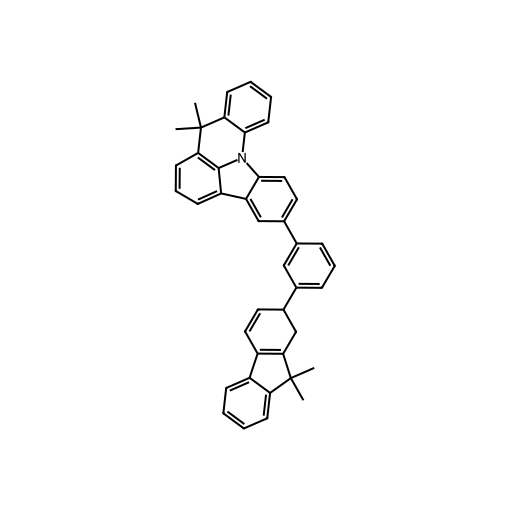 CC1(C)C2=C(C=CC(c3cccc(-c4ccc5c(c4)c4cccc6c4n5-c4ccccc4C6(C)C)c3)C2)c2ccccc21